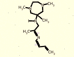 C=C/C=C\N=C(/C)CN(I)C1(C)CN(C)CCN(C)C1